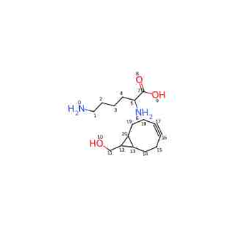 NCCCCC(N)C(=O)O.OCC1C2CCC#CCCC12